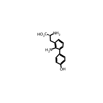 Nc1c(C[C@H](N)C(=O)O)cccc1-c1ccc(O)cc1